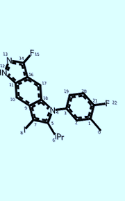 Cc1cc(-n2c(C(C)C)c(I)c3cc4[nH]nc(F)c4cc32)ccc1F